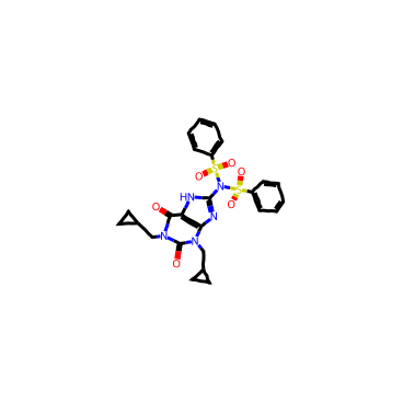 O=c1c2[nH]c(N(S(=O)(=O)c3ccccc3)S(=O)(=O)c3ccccc3)nc2n(CC2CC2)c(=O)n1CC1CC1